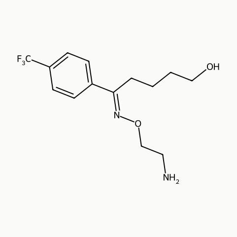 NCCO/N=C(\CCCCO)c1ccc(C(F)(F)F)cc1